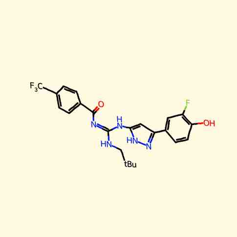 CC(C)(C)CN/C(=N/C(=O)c1ccc(C(F)(F)F)cc1)Nc1cc(-c2ccc(O)c(F)c2)n[nH]1